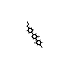 CCCc1ccc(-c2ccc(-c3ccc(C)cc3)c(F)c2)cc1